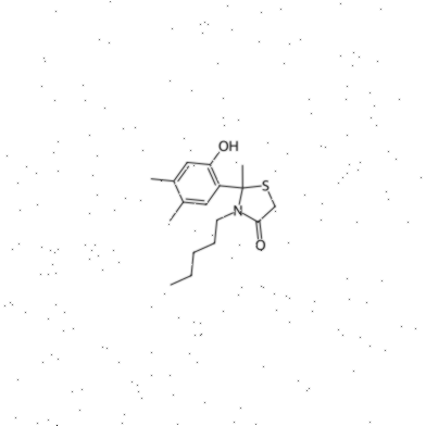 CCCCCN1C(=O)CSC1(C)c1cc(C)c(C)cc1O